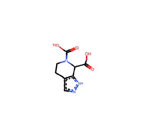 O=C(O)C1c2[nH]ncc2CCN1C(=O)O